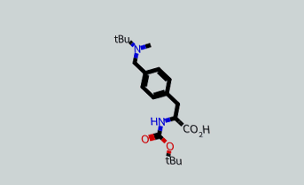 CN(Cc1ccc(CC(NC(=O)OC(C)(C)C)C(=O)O)cc1)C(C)(C)C